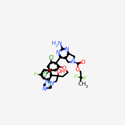 CC(F)(F)COC(=O)N1Cc2nc(N)nc(-c3c(Cl)cc(Cl)cc3OCCC(O)(Cn3cncn3)c3ccc(F)cc3F)c2C1